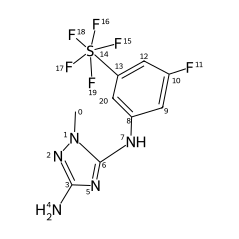 Cn1nc(N)nc1Nc1cc(F)cc(S(F)(F)(F)(F)F)c1